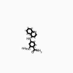 CCCCCCc1cc(Nc2ccnc3ccccc23)ccc1C(N)=O